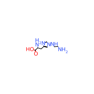 NCCNn1cnc(C[C@H](N)C(=O)O)c1